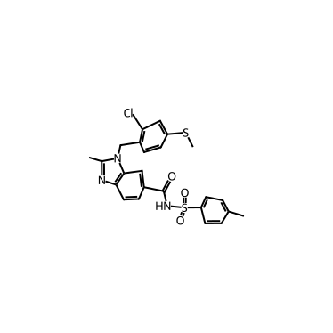 CSc1ccc(Cn2c(C)nc3ccc(C(=O)NS(=O)(=O)c4ccc(C)cc4)cc32)c(Cl)c1